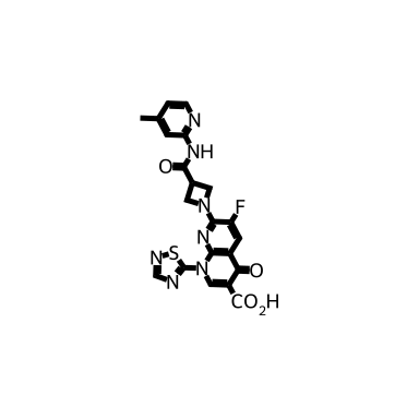 Cc1ccnc(NC(=O)C2CN(c3nc4c(cc3F)c(=O)c(C(=O)O)cn4-c3ncns3)C2)c1